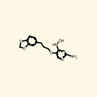 Nc1ncc(OCCCc2ccc3c(c2)OCO3)c(NO)n1